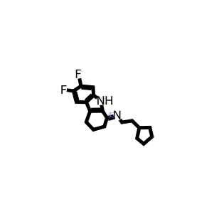 Fc1cc2[nH]c3c(c2cc1F)CCC/C3=N\CCC1CCCC1